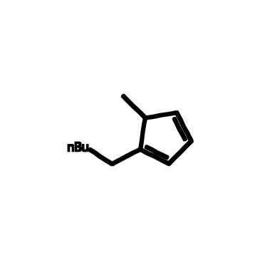 CCCCCC1=CC=CC1C